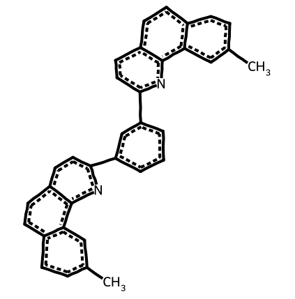 Cc1ccc2ccc3ccc(-c4cccc(-c5ccc6ccc7ccc(C)cc7c6n5)c4)nc3c2c1